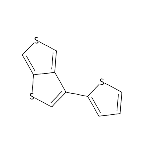 c1csc(-c2csc3cscc23)c1